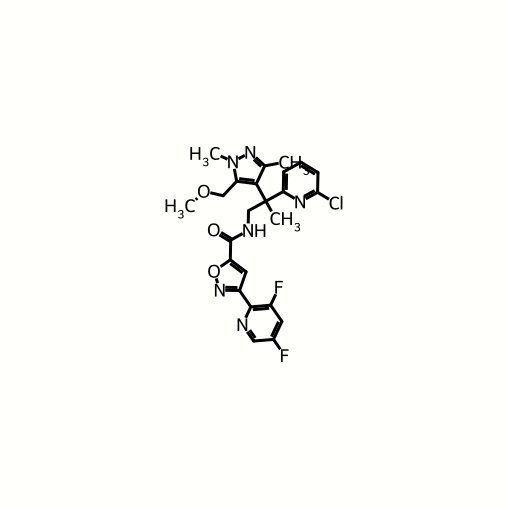 COCc1c(C(C)(CNC(=O)c2cc(-c3ncc(F)cc3F)no2)c2cccc(Cl)n2)c(C)nn1C